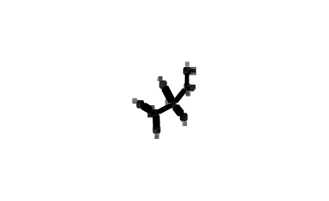 O=[SH](=O)[S](=O)(=O)[Sn][OH]